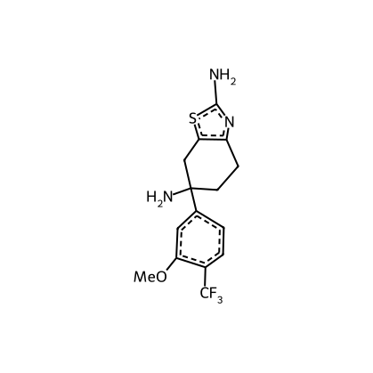 COc1cc(C2(N)CCc3nc(N)sc3C2)ccc1C(F)(F)F